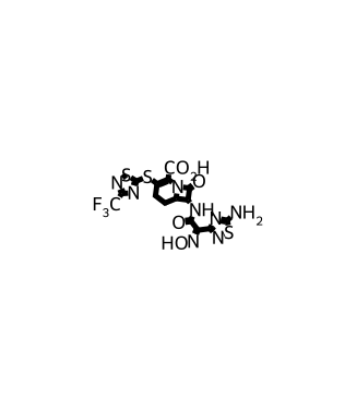 Nc1nc(/C(=N/O)C(=O)NC2C(=O)N3C(C(=O)O)=C(Sc4nc(C(F)(F)F)ns4)CCC23)ns1